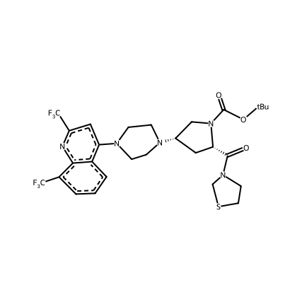 CC(C)(C)OC(=O)N1C[C@@H](N2CCN(c3cc(C(F)(F)F)nc4c(C(F)(F)F)cccc34)CC2)C[C@H]1C(=O)N1CCSC1